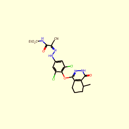 CCOC(=O)NC(=O)/C(C#N)=N\Nc1cc(Cl)c(Oc2n[nH]c(=O)c3c2CCCC3C)c(Cl)c1